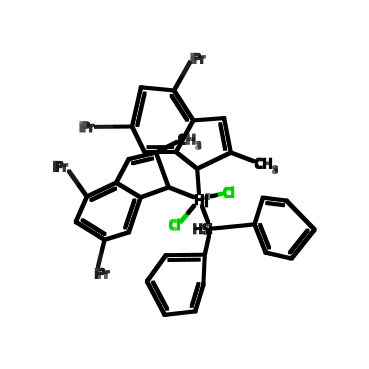 CC1=Cc2c(C(C)C)cc(C(C)C)cc2[CH]1[Hf]([Cl])([Cl])([CH]1C(C)=Cc2c(C(C)C)cc(C(C)C)cc21)[SiH](c1ccccc1)c1ccccc1